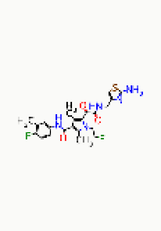 Cc1cc(NC(=O)c2c(C)c(C(=O)C(=O)NCc3csc(N)n3)n(CCF)c2C)ccc1F